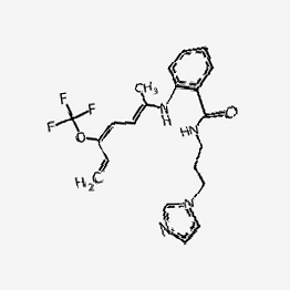 C=C/C(=C\C=C(/C)Nc1ccccc1C(=O)NCCCn1ccnc1)OC(F)(F)F